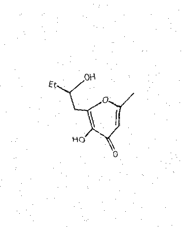 CCC(O)Cc1oc(C)cc(=O)c1O